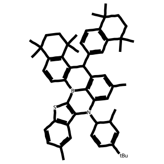 Cc1cc2c3c(c1)N(C1C=CC(C(C)(C)C)=CC1C)c1c(sc4ccc(C)cc14)B3c1ccc3c(c1C2c1ccc2c(c1)C(C)(C)CCC2(C)C)C(C)(C)CCC3(C)C